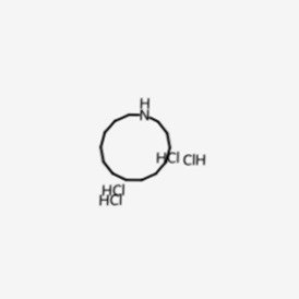 C1CCCCCCNCCCCCC1.Cl.Cl.Cl.Cl